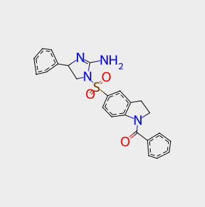 NC1=NC(c2ccccc2)CN1S(=O)(=O)c1ccc2c(c1)CCN2C(=O)c1ccccc1